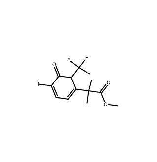 COC(=O)C(C)(C)C1=CC=C(I)C(=O)C1C(F)(F)F